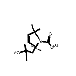 COC(=O)N1C(C)(C)C=C[C@@]1(C)CC(C)(C)O